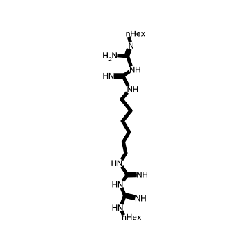 CCCCCC/N=C(\N)NC(=N)NCCCCCCNC(=N)NC(=N)NCCCCCC